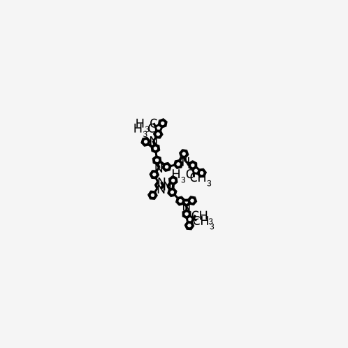 CC1(C)c2ccccc2-c2ccc(-n3c4ccccc4c4cc(-c5ccc6c(c5)c5cc(-c7ccc8c(c7)c7ccccc7n8-c7ccc8c(c7)C(C)(C)c7ccccc7-8)ccc5n6-c5cccc(-c6cc(-c7ccccc7)nc(-n7c8ccccc8c8cc(-c9ccc%10c(c9)c9ccccc9n%10-c9ccc%10c(c9)C(C)(C)c9ccccc9-%10)ccc87)n6)c5)ccc43)cc21